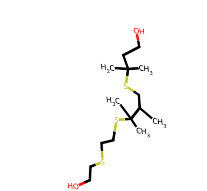 CC(CSC(C)(C)CCO)C(C)(C)SCCSCCO